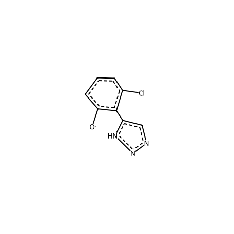 [O]c1cccc(Cl)c1-c1cnn[nH]1